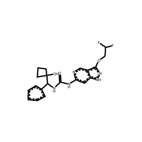 O=C(Nc1cc2[nH]nc(OCC(F)F)c2cn1)NC(c1ccccc1)C1(O)CCC1